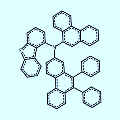 c1ccc(-c2c(-c3ccccc3)c3cc(N(c4cc5ccccc5c5ccccc45)c4cccc5sc6ccccc6c45)ccc3c3ccccc23)cc1